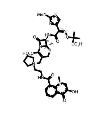 CNc1nc(/C(=N/OC(C)(C)C(=O)O)C(=O)N[C@@H]2C(=O)N3C(C(=O)O)=C(C[N+]4(CCNC(=O)c5cccc6c(=O)c(O)cn(C)c56)CCCC4)CS[C@H]23)cs1